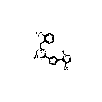 CCc1cnn(C)c1-c1csc(C(=O)N[C@H](CN)Cc2ccccc2C(F)(F)F)c1